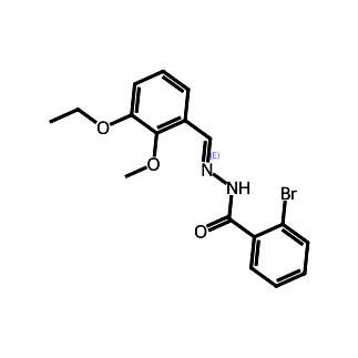 CCOc1cccc(/C=N/NC(=O)c2ccccc2Br)c1OC